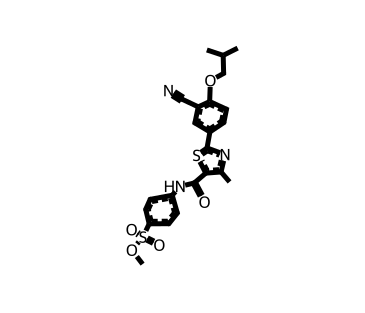 COS(=O)(=O)c1ccc(NC(=O)c2sc(-c3ccc(OCC(C)C)c(C#N)c3)nc2C)cc1